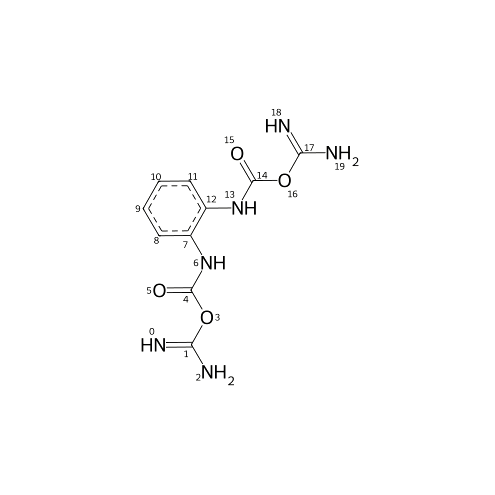 N=C(N)OC(=O)Nc1ccccc1NC(=O)OC(=N)N